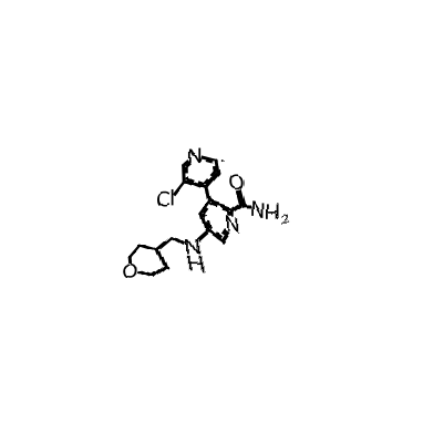 NC(=O)c1ncc(NCC2CCOCC2)cc1-c1c[c]ncc1Cl